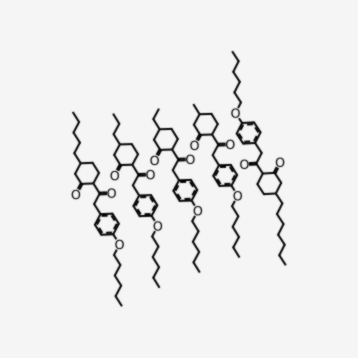 CCCCCCCC1CCC(C(=O)Cc2ccc(OCCCCCC)cc2)C(=O)C1.CCCCCCOc1ccc(CC(=O)C2CCC(C)CC2=O)cc1.CCCCCCOc1ccc(CC(=O)C2CCC(CC)CC2=O)cc1.CCCCCCOc1ccc(CC(=O)C2CCC(CCC)CC2=O)cc1.CCCCCCOc1ccc(CC(=O)C2CCC(CCCCC)CC2=O)cc1